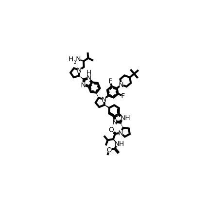 C=C(N[C@H](C(=O)N1CCC[C@H]1c1nc2c([nH]1)=CCC([C@H]1CC[C@H](c3ccc4[nH]c([C@@H]5CCCN5C[C@@H](N)C(C)C)nc4c3)N1c1cc(F)c(N3CCC(C(C)(C)C)CC3)c(F)c1)C=2)C(C)C)OC